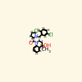 CC1(O)CCN(C(=O)[C@@H]2CCCN2Cc2cc(Cl)ccc2Cl)c2ccccc21